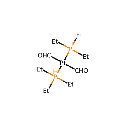 CC[PH](CC)(CC)[Pt]([CH]=O)([CH]=O)[PH](CC)(CC)CC